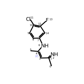 CC(=N)/C=C(/C)Nc1ccc(Cl)c(F)c1